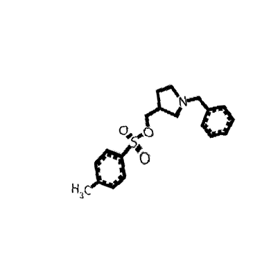 Cc1ccc(S(=O)(=O)OCC2CCN(Cc3ccccc3)C2)cc1